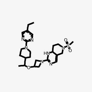 CCc1cnc(N2CCC(C(C)OC3CN(C4=NC=C5CN(S(C)(=O)=O)CCC5N4)C3)CC2)nc1